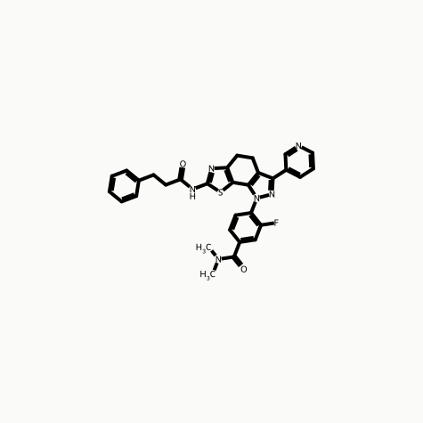 CN(C)C(=O)c1ccc(-n2nc(-c3cccnc3)c3c2-c2sc(NC(=O)CCc4ccccc4)nc2CC3)c(F)c1